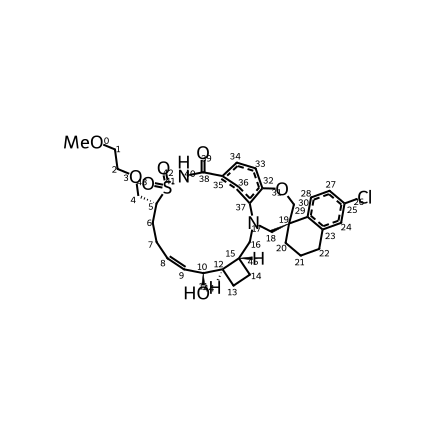 COCCOC[C@H]1CC/C=C\[C@H](O)[C@@H]2CC[C@H]2CN2C[C@@]3(CCCc4cc(Cl)ccc43)COc3ccc(cc32)C(=O)NS1(=O)=O